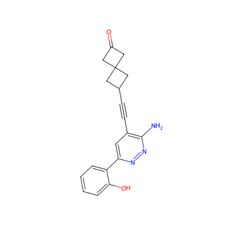 Nc1nnc(-c2ccccc2O)cc1C#CC1CC2(CC(=O)C2)C1